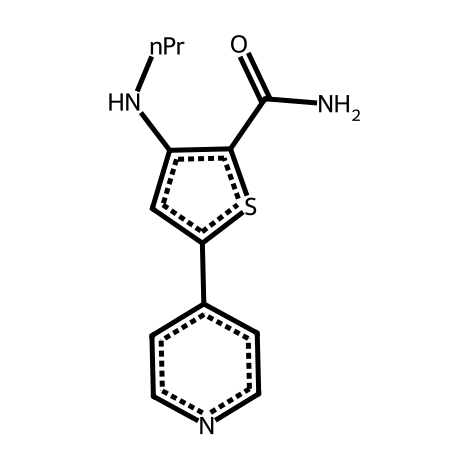 CCCNc1cc(-c2ccncc2)sc1C(N)=O